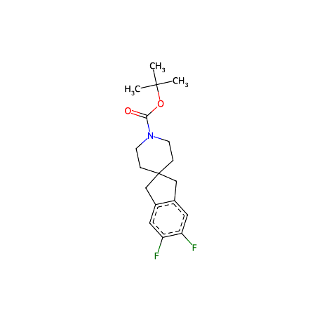 CC(C)(C)OC(=O)N1CCC2(CC1)Cc1cc(F)c(F)cc1C2